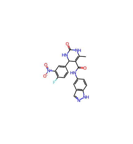 CC1=C(C(=O)Nc2ccc3[nH]ncc3c2)C(c2ccc(F)c([N+](=O)[O-])c2)NC(=O)N1